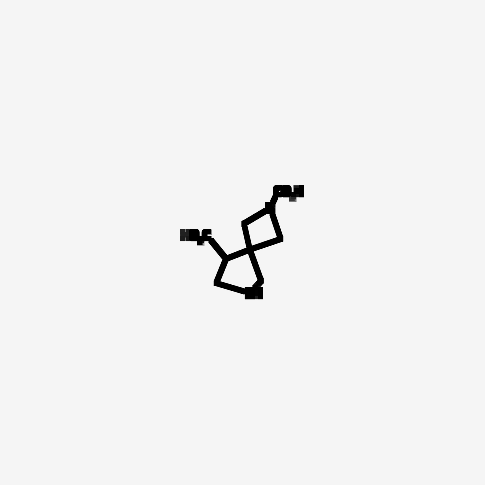 O=C(O)C1CNCC12CN(C(=O)O)C2